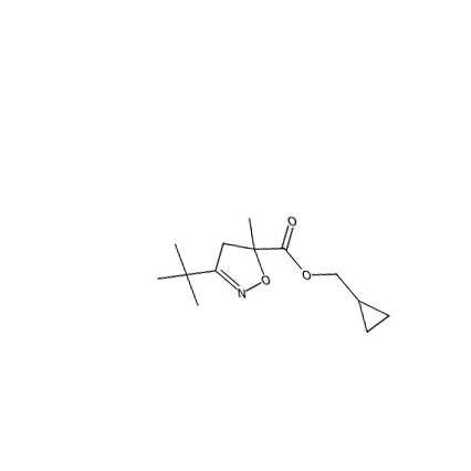 CC(C)(C)C1=NOC(C)(C(=O)OCC2CC2)C1